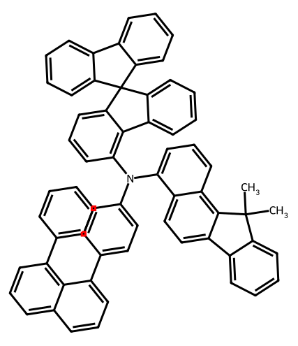 CC1(C)c2ccccc2-c2ccc3c(N(c4ccc(-c5cccc6cccc(-c7ccccc7)c56)cc4)c4cccc5c4-c4ccccc4C54c5ccccc5-c5ccccc54)cccc3c21